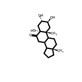 C[C@@]12CCCC1C1CC(=O)[C@@]3(O)C[C@H](O)[C@@H](O)C[C@]3(C)C1CC2